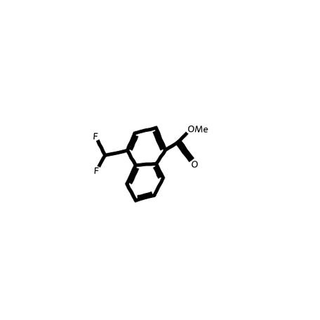 COC(=O)c1ccc(C(F)F)c2ccccc12